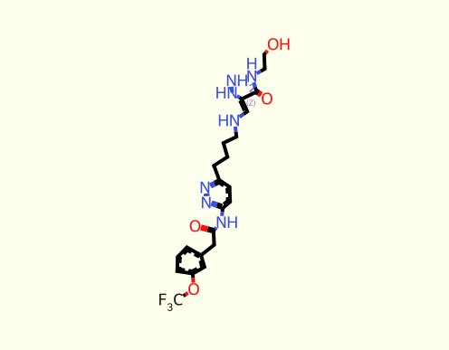 NN/C(=C\NCCCCc1ccc(NC(=O)Cc2cccc(OC(F)(F)F)c2)nn1)C(=O)NCCO